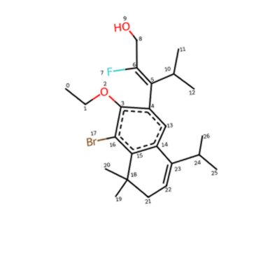 CCOc1c(C(=C(F)CO)C(C)C)cc2c(c1Br)C(C)(C)CC=C2C(C)C